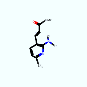 CCN(CC)c1nc(C(F)(F)F)ccc1/C=C/C(=O)OC